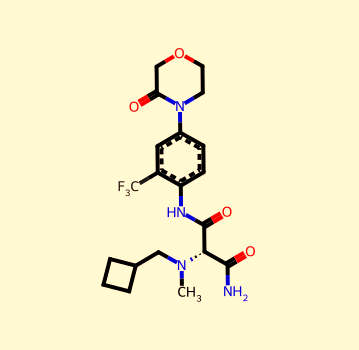 CN(CC1CCC1)[C@@H](C(N)=O)C(=O)Nc1ccc(N2CCOCC2=O)cc1C(F)(F)F